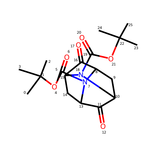 CC(C)(C)OC(=O)N1C2CC3C(=O)C1CC(C2=O)N3C(=O)OC(C)(C)C